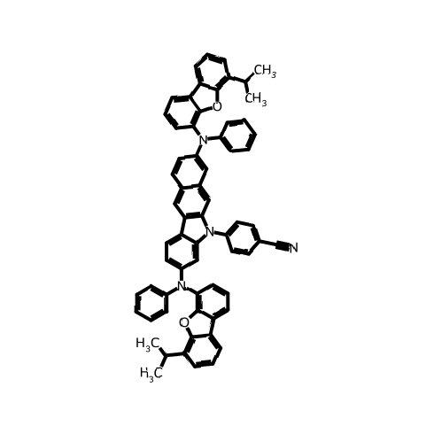 CC(C)c1cccc2c1oc1c(N(c3ccccc3)c3ccc4cc5c6ccc(N(c7ccccc7)c7cccc8c7oc7c(C(C)C)cccc78)cc6n(-c6ccc(C#N)cc6)c5cc4c3)cccc12